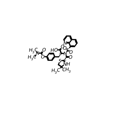 CN(C)C(=O)Oc1ccc(C[C@@H](C(=O)O)N(C(=O)[C@H]2NC(C)(C)CS2)S(=O)(=O)c2cccc3cccnc23)cc1